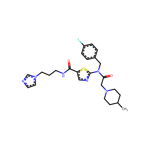 CC1CCN(CC(=O)N(Cc2ccc(F)cc2)c2ncc(C(=O)NCCCn3ccnc3)s2)CC1